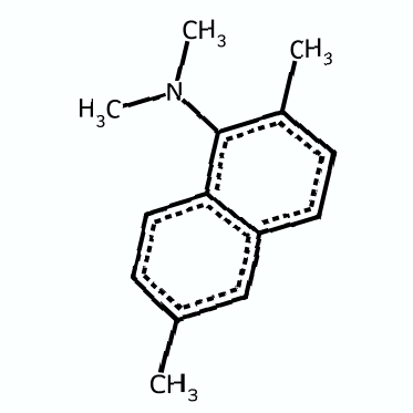 Cc1ccc2c(N(C)C)c(C)ccc2c1